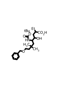 CCC(CC(O)C(CC(C)(C)CCOCc1ccccc1)NC(=O)OC(C)(C)C)C(=O)O